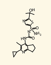 Cc1c(C2CC2)nc2c(c1NC(=O)N=S(N)(=O)c1cnc(C(C)(C)O)s1)CCC2